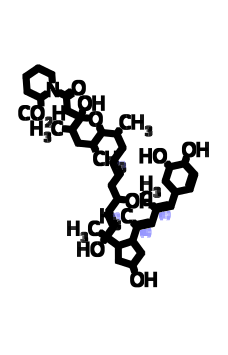 CC(=C\C1C=CC(O)C(O)C1)/C=C(\C)C1CC(O)CC1C(C)(O)/C=C/C(O)C/C=C/CC(C)C1OC(O)(CC(=O)N2CCCCC2C(=O)O)C(C)CC1C